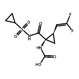 O=C(O)N[C@]1(C(=O)NS(=O)(=O)C2CC2)C[C@@H]1C=C(F)F